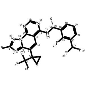 Cc1nc2c(C3(C(F)(F)F)CC3)cc3c(N[C@H](C)c4cccc(C(F)F)c4F)ncnc3n2n1